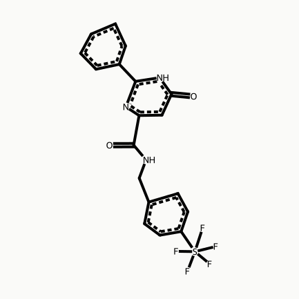 O=C(NCc1ccc(S(F)(F)(F)(F)F)cc1)c1cc(=O)[nH]c(-c2ccccc2)n1